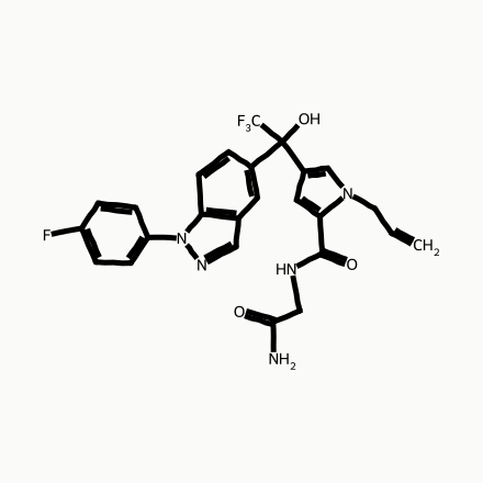 C=CCn1cc(C(O)(c2ccc3c(cnn3-c3ccc(F)cc3)c2)C(F)(F)F)cc1C(=O)NCC(N)=O